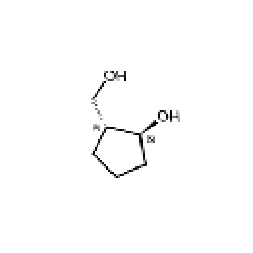 OC[C@H]1CCC[C@@H]1O